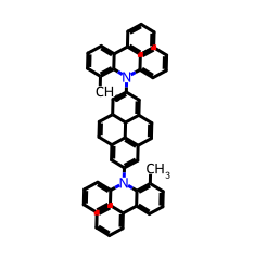 Cc1cccc(-c2ccccc2)c1N(C1=CC2C=Cc3cc(N(c4ccccc4)c4c(C)cccc4-c4ccccc4)cc4c3C2C(=C1)C=C4)c1ccccc1